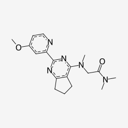 COc1ccnc(-c2nc3c(c(N(C)CC(=O)N(C)C)n2)CCC3)c1